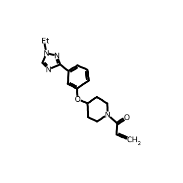 C=CC(=O)N1CCC(Oc2cccc(-c3ncn(CC)n3)c2)CC1